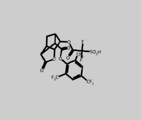 O=C1OC2C3CC(C2OC(=O)C(F)(F)S(=O)(=O)O)C(C(=O)Oc2c(C(F)(F)F)cc(C(F)(F)F)cc2C(F)(F)F)C13